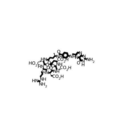 C#CC[C@H](NC(=O)[C@H](CC(=O)O)NC(=O)[C@H](CC(=O)O)NC(=O)[C@H](CCCNC(=N)N)NC(=O)[C@H](CC(=O)O)NC(=O)CC[C@@H](C)NC(=O)c1ccc(NCc2cnc3nc(N)[nH]c(=O)c3n2)cc1)C(=O)O